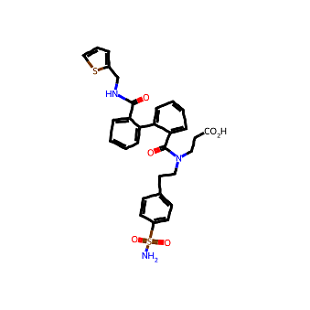 NS(=O)(=O)c1ccc(CCN(CCC(=O)O)C(=O)c2ccccc2-c2ccccc2C(=O)NCc2cccs2)cc1